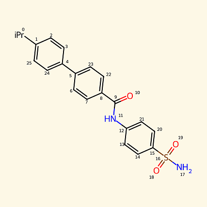 CC(C)c1ccc(-c2ccc(C(=O)Nc3ccc(S(N)(=O)=O)cc3)cc2)cc1